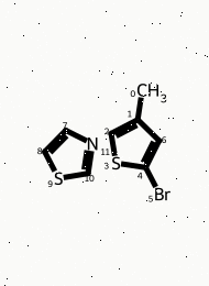 Cc1csc(Br)c1.c1cscn1